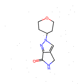 O=C1NCc2cn(C3CCOCC3)nc21